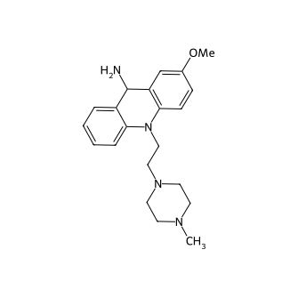 COc1ccc2c(c1)C(N)c1ccccc1N2CCN1CCN(C)CC1